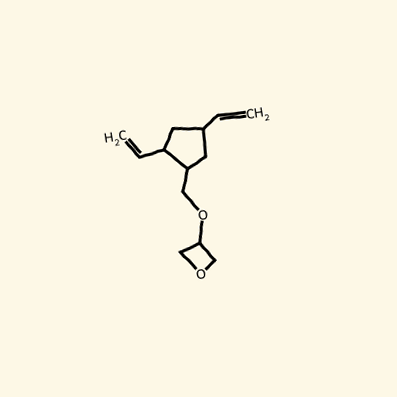 C=CC1CC(C=C)C(COC2COC2)C1